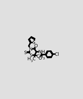 CC1(C)SC(=S)N(Cc2cccs2)C(=O)C1NC(=O)c1ccc(Cl)cc1